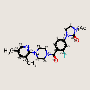 CC(=O)N1CCN(c2ccc(C(=O)N3CCN(c4ncc(C)cc4C)CC3)c(F)c2)C1=O